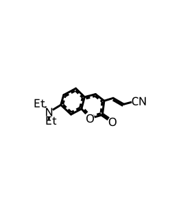 CCN(CC)c1ccc2cc(/C=C/C#N)c(=O)oc2c1